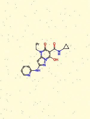 CC(C)Cn1c(=O)c(C(=O)NC2CC2)c(O)n2nc(Nc3ccccn3)cc12